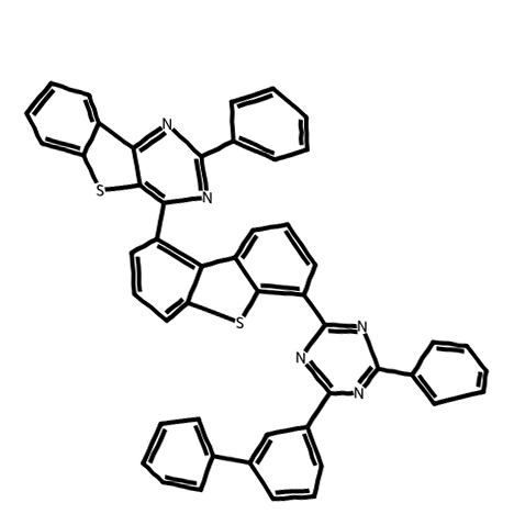 c1ccc(-c2cccc(-c3nc(-c4ccccc4)nc(-c4cccc5c4sc4cccc(-c6nc(-c7ccccc7)nc7c6sc6ccccc67)c45)n3)c2)cc1